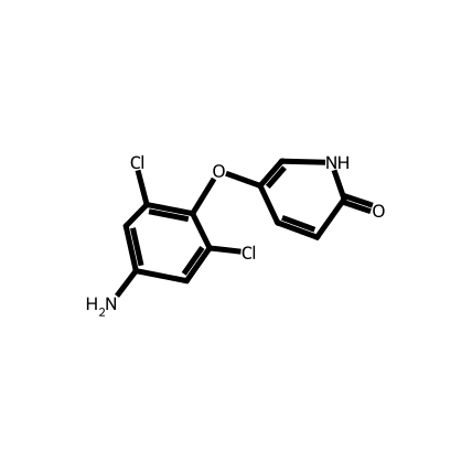 Nc1cc(Cl)c(Oc2ccc(=O)[nH]c2)c(Cl)c1